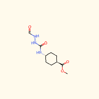 COC(=O)[C@H]1CC[C@H](NC(=O)NNC=O)CC1